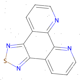 c1cnc2c(c1)c1nsnc1c1cccnc12